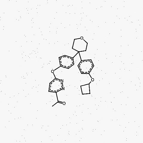 CC(=O)c1ccc(Oc2ccc(C3(c4ccc(OC5CCC5)cc4)CCOCC3)cc2)nn1